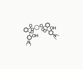 CCN(CC)c1ccc(C(=O)c2ccccc2C(=O)OC2CCC(OC(=O)c3ccccc3C(=O)c3ccc(N(CC)CC)cc3O)CC2)c(O)c1